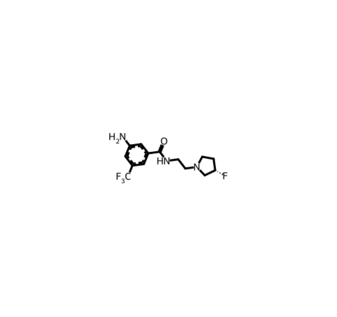 Nc1cc(C(=O)NCCN2CC[C@H](F)C2)cc(C(F)(F)F)c1